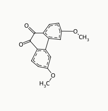 COc1ccc2c(c1)-c1cc(OC)ccc1C(=O)C2=O